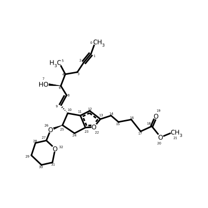 CC#CCC(C)[C@H](O)C=C[C@@H]1c2cc(CCCCC(=O)OC)oc2C[C@H]1OC1CCCCO1